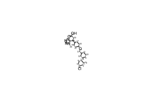 Cc1cc(Cl)ccc1-c1cccc(COc2ccc([C@H](CC(=O)O)c3nnnn3C)cc2)c1